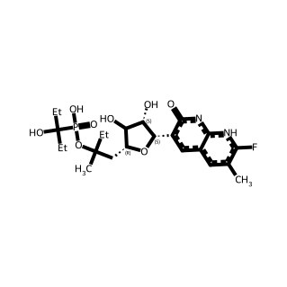 CCC(C)(C[C@H]1O[C@@H](c2cc3cc(C)c(F)[nH]c-3nc2=O)[C@@H](O)C1O)OP(=O)(O)C(O)(CC)CC